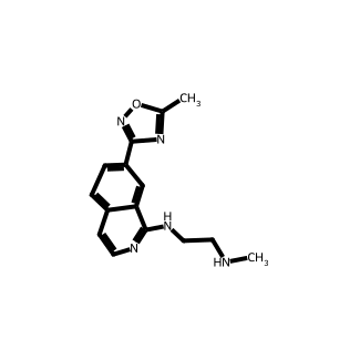 CNCCNc1nccc2ccc(-c3noc(C)n3)cc12